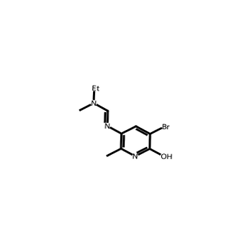 CCN(C)C=Nc1cc(Br)c(O)nc1C